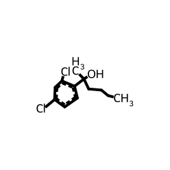 CCCCC(C)(O)c1ccc(Cl)cc1Cl